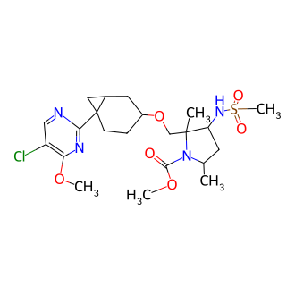 COC(=O)N1C(C)CC(NS(C)(=O)=O)C1(C)COC1CCC2(c3ncc(Cl)c(OC)n3)CC2C1